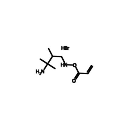 Br.C=CC(=O)ONCC(C)C(C)(C)N